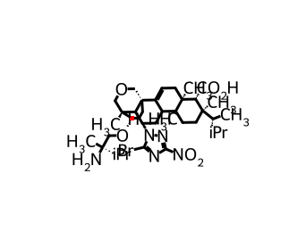 CC(C)[C@@H](C)[C@@]1(C)CC[C@]2(C)[C@H]3CC[C@@H]4[C@@]5(COC[C@@]4(C)[C@@H](OC[C@](C)(N)C(C)C)[C@H](n4nc([N+](=O)[O-])nc4Br)C5)C3=CC[C@@]2(C)[C@@H]1C(=O)O